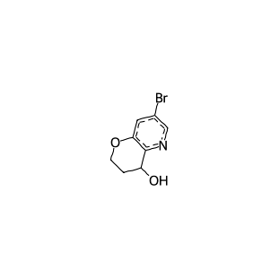 OC1CCOc2cc(Br)cnc21